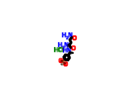 C[C@H](NC(=O)[C@@H](N)CCC(N)=O)c1ccc(S(C)(=O)=O)cc1.Cl